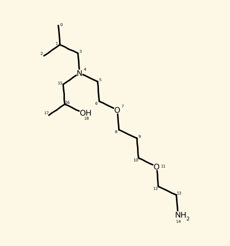 CC(C)CN(CCOCCCOCCN)CC(C)O